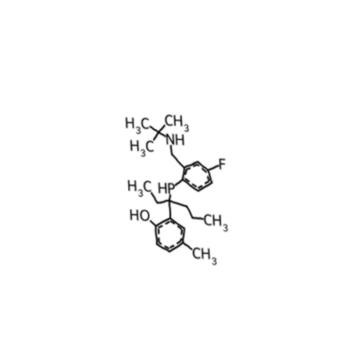 CCCC(CC)(Pc1ccc(F)cc1CNC(C)(C)C)c1cc(C)ccc1O